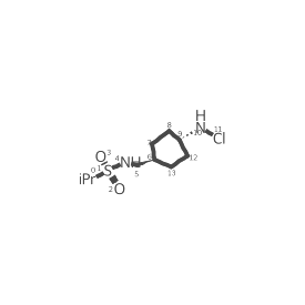 CC(C)S(=O)(=O)NC[C@H]1CC[C@H](NCl)CC1